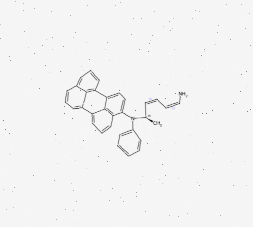 C[C@H](/C=C\C=C/N)N(c1ccccc1)c1ccc2c3cccc4cccc(c5cccc1c52)c43